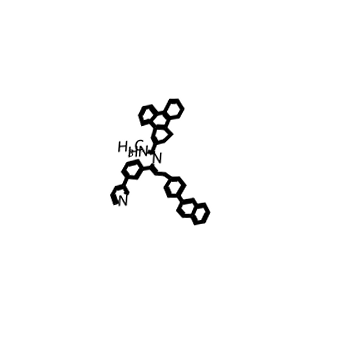 CN/C(=N\C(=C/Cc1ccc(-c2ccc3ccccc3c2)cc1)c1cccc(-c2cccnc2)c1)C1=Cc2c(c3c(c4ccccc24)C=CCC3)CC1